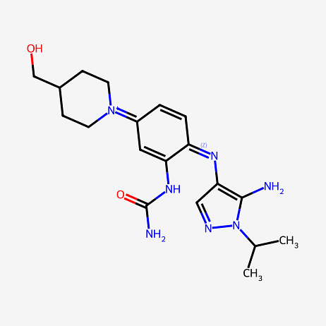 CC(C)n1ncc(/N=C2/C=CC(=[N+]3CCC(CO)CC3)C=C2NC(N)=O)c1N